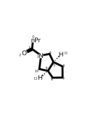 CCCC(=O)N1C[C@H]2CCC[C@H]2C1